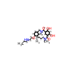 CCCCN(C)C(=O)c1cc(C(=O)N2Cc3ccc(OCCNCCC)cc3C2)c(O)cc1O